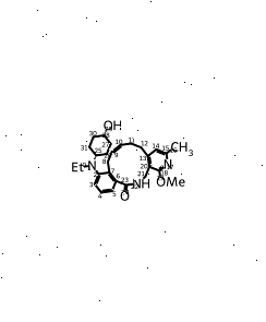 CCN(c1cccc2c1CC=CCCc1cc(C)nc(OC)c1CNC2=O)[C@H]1CC[C@@H](O)CC1